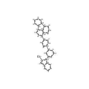 CCc1nc2ccccc2n1-c1cccc(-c2ccc(-c3ccc4c5c(cccc35)-c3ccccc3-4)cc2)c1